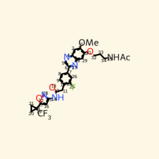 COc1cc2ncc(-c3ccc(CC(=O)Nc4cc(C5(C(F)(F)F)CC5)on4)c(F)c3)nc2cc1OCCCNC(C)=O